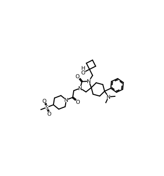 CN(C)C1(c2ccccc2)CCC2(CC1)CN(CC(=O)N1CCC(S(C)(=O)=O)CC1)C(=O)N2CC1(O)CCC1